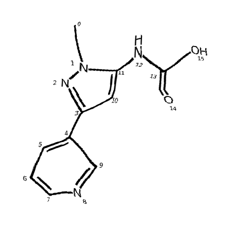 Cn1nc(-c2cccnc2)cc1NC(=O)O